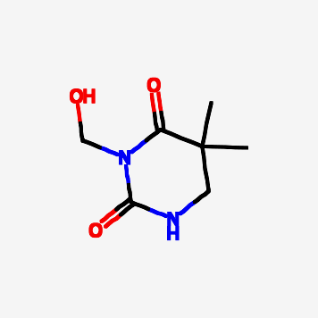 CC1(C)CNC(=O)N(CO)C1=O